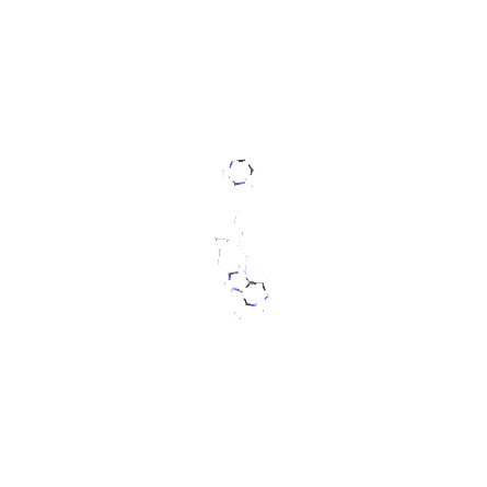 Cc1cnc(N)c2nc(CC3CC3)n(CCCCCSc3ncccn3)c12